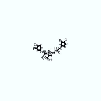 C=C(O)C(C[C@H](CNC(=O)COc1ccc(Cl)c(F)c1)OC)NC(=O)COc1ccc(Cl)c(F)c1